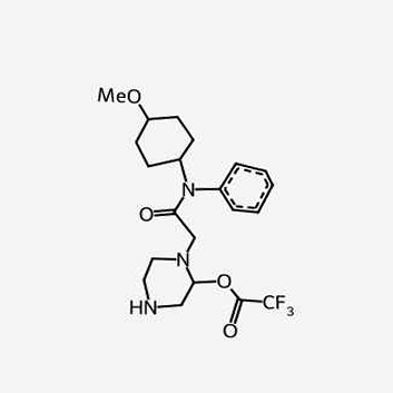 COC1CCC(N(C(=O)CN2CCNCC2OC(=O)C(F)(F)F)c2ccccc2)CC1